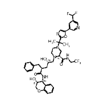 CC(C)(c1ncc(-c2cncc(C(F)F)c2)o1)N1CCN(C[C@@H](O)CC(Cc2ccccc2)C(=O)N[C@H]2c3ccccc3OC[C@H]2O)[C@H](C(=O)NCC(F)(F)F)C1